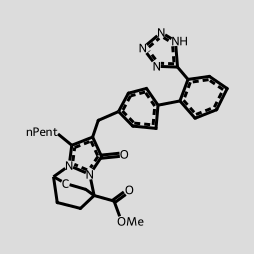 CCCCCc1c(Cc2ccc(-c3ccccc3-c3nnn[nH]3)cc2)c(=O)n2n1C1CCC2(C(=O)OC)CC1